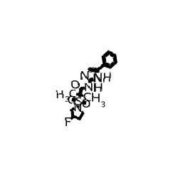 CC(C)(C(=O)Nc1ncc(-c2ccccc2)[nH]1)S(=O)(=O)N1CCC(F)C1